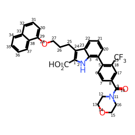 O=C(O)c1[nH]c2c(-c3ccc(C(=O)N4CCOCC4)cc3C(F)(F)F)cccc2c1CCCOc1cccc2ccccc12